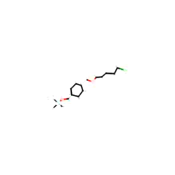 CC(C)(C)[Si](C)(C)OC[C@H]1CC[C@H](COCCCCCBr)CC1